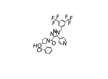 O=C(c1nnn(Cc2cc(C(F)(F)F)cc(C(F)(F)F)c2)c1-c1ccncc1)N1CC[C@H](O)[C@H]1c1ccccc1Cl